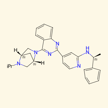 CC(C)N1C[C@@H]2C[C@H]1CN2c1nc(-c2ccnc(N[C@@H](C)c3ccccc3)c2)nc2ccccc12